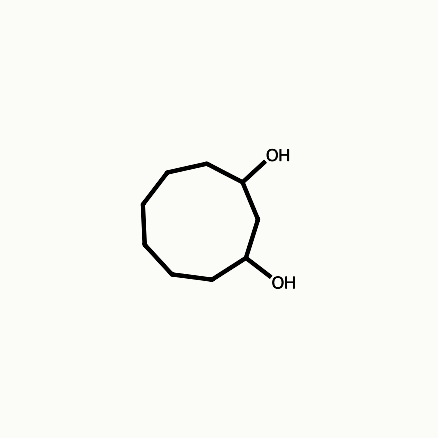 OC1CCCCCCC(O)C1